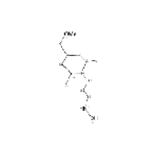 COCC1CC(C)C(OCCNO)C(C)C1